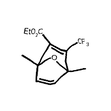 CCOC(=O)C1=C(C(F)(F)F)C2(C)C=CC1(C)O2